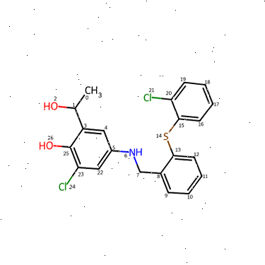 CC(O)c1cc(NCc2ccccc2Sc2ccccc2Cl)cc(Cl)c1O